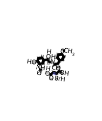 Br.COc1ccc(C[C@@H](C)NC[C@H](O)c2ccc(O)c(NC=O)c2)cc1.O=C(O)/C=C/C(=O)O